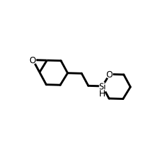 C1CC[SiH](CCC2CCC3OC3C2)OC1